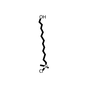 C[Si](C)(Cl)CCCCCCCCCCCCO